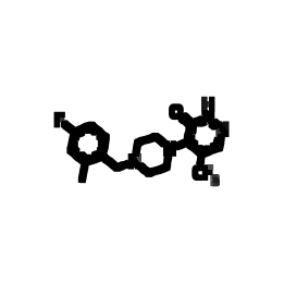 Cc1cc(F)ccc1CN1CCN(c2c(C(F)(F)F)cn[nH]c2=O)CC1